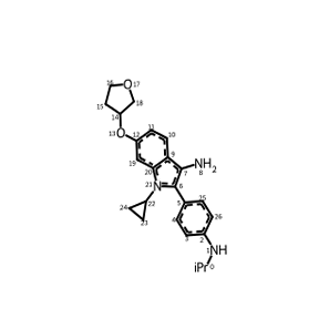 CC(C)Nc1ccc(-c2c(N)c3ccc(OC4CCOC4)cc3n2C2CC2)cc1